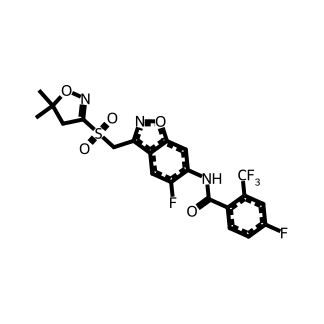 CC1(C)CC(S(=O)(=O)Cc2noc3cc(NC(=O)c4ccc(F)cc4C(F)(F)F)c(F)cc23)=NO1